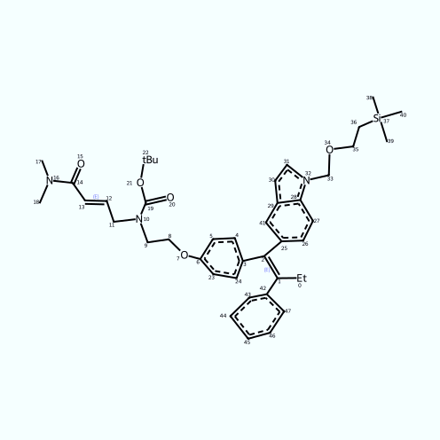 CC/C(=C(/c1ccc(OCCN(C/C=C/C(=O)N(C)C)C(=O)OC(C)(C)C)cc1)c1ccc2c(ccn2COCC[Si](C)(C)C)c1)c1ccccc1